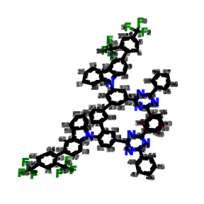 FC(F)(F)c1ccc(-c2ccc3c(c2)c2ccccc2n3-c2cc(-c3cccc(-c4cc(-c5nc(-c6ccccc6)nc(-c6ccccc6)n5)ccc4-n4c5ccccc5c5cc(-c6ccc(C(F)(F)F)cc6C(F)(F)F)ccc54)c3)cc(-c3nc(-c4ccccc4)nc(-c4ccccc4)n3)c2)c(C(F)(F)F)c1